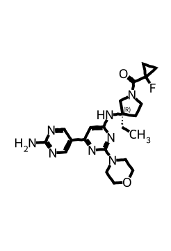 CC[C@@]1(Nc2cc(-c3cnc(N)nc3)nc(N3CCOCC3)n2)CCN(C(=O)C2(F)CC2)C1